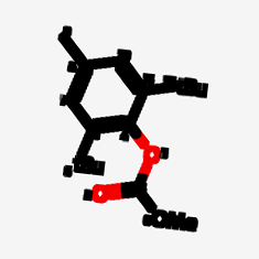 COC(=O)Oc1c(C(C)(C)C)cc(C)cc1C(C)(C)C